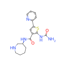 NC(=O)Nc1sc(-c2ccccn2)cc1C(=O)N[C@H]1CCCCNC1